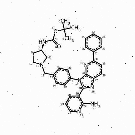 CC(C)(C)OC(=O)N[C@@H]1CCN(Cc2ccc(-n3c(-c4cccnc4N)nc4ccc(-c5ccccc5)nc43)cc2)C1